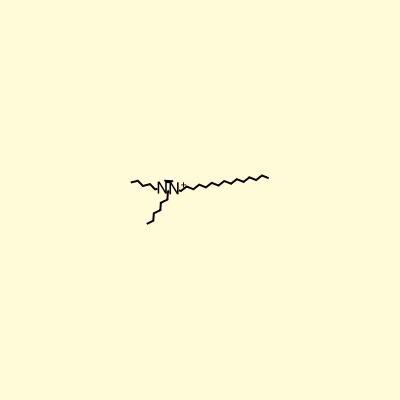 CCCCCCCCCCCCCCC[n+]1ccn(CCCCC)c1CCCCCC